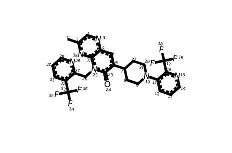 Cc1cnc2cc(C3CCN(c4cccnc4C(F)(F)F)CC3)c(=O)n(Cc3ncccc3C(F)(F)F)c2n1